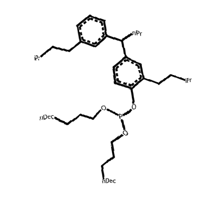 CCCCCCCCCCCCCOP(OCCCCCCCCCCCCC)Oc1ccc(C(CCC)c2cc[c]c(CCC(C)C)c2)cc1CCC(C)C